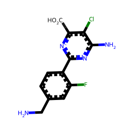 NCc1ccc(-c2nc(N)c(Cl)c(C(=O)O)n2)c(F)c1